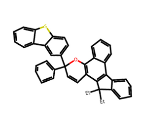 CCC1(CC)c2ccccc2-c2c1c1c(c3ccccc23)OC(c2ccccc2)(c2ccc3sc4ccccc4c3c2)C=C1